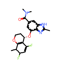 Cc1nc2c(O[C@H]3CCOC4=C3C(F)=CC(F)C4C)cc(C(=O)N(C)C)cc2[nH]1